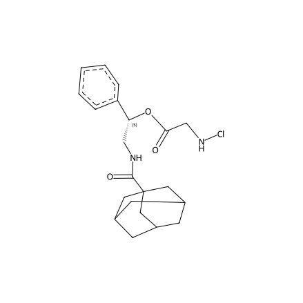 O=C(CNCl)O[C@H](CNC(=O)C12CC3CC(CC(C3)C1)C2)c1ccccc1